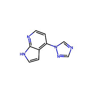 c1cc(-n2cncn2)c2cc[nH]c2n1